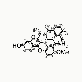 COc1cccc(Cc2c(C(C(C)C)N(CCCN)C(=O)c3ccc(C)c(F)c3)oc3cc(O)ccc3c2=O)c1